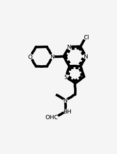 CN(BC=O)Cc1cc2nc(Cl)nc(N3CCOCC3)c2s1